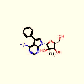 C[C@@]1(O)C(O)[C@@H](CO)O[C@H]1n1cc(-c2ccccc2)c2c(N)ncnc21